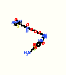 NC/C=C(\F)CS(=O)(=O)c1ccc(C(=O)NCc2cn(CCOCCOCCOCCNC(=O)CCCC[C@@H]3SC[C@@H]4NC(=O)N[C@@H]43)nn2)cc1